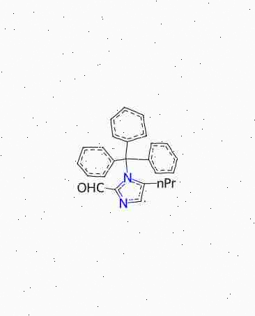 CCCc1[c]nc(C=O)n1C(c1ccccc1)(c1ccccc1)c1ccccc1